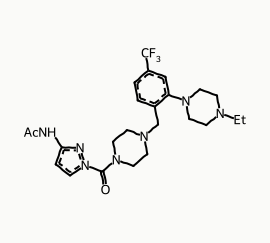 CCN1CCN(c2cc(C(F)(F)F)ccc2CN2CCN(C(=O)n3ccc(NC(C)=O)n3)CC2)CC1